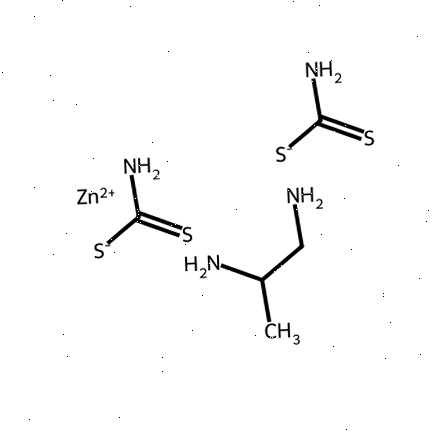 CC(N)CN.NC(=S)[S-].NC(=S)[S-].[Zn+2]